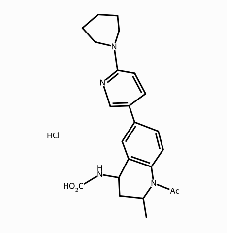 CC(=O)N1c2ccc(-c3ccc(N4CCCCC4)nc3)cc2C(NC(=O)O)CC1C.Cl